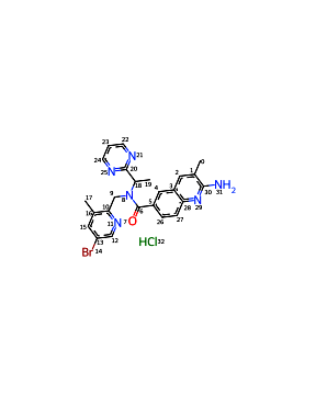 Cc1cc2cc(C(=O)N(Cc3ncc(Br)cc3C)C(C)c3ncccn3)ccc2nc1N.Cl